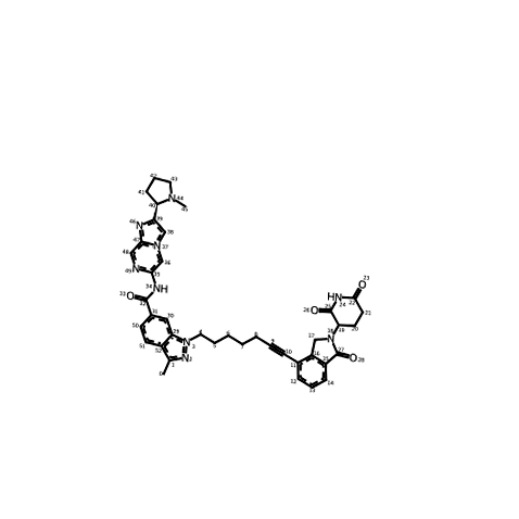 Cc1nn(CCCCCC#Cc2cccc3c2CN(C2CCC(=O)NC2=O)C3=O)c2cc(C(=O)Nc3cn4cc([C@H]5CCCN5C)nc4cn3)ccc12